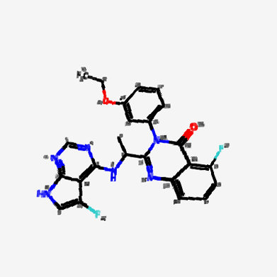 CC(Nc1ncnc2[nH]cc(F)c12)c1nc2cccc(F)c2c(=O)n1-c1cccc(OCC(F)(F)F)c1